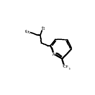 CCC(CC)Cc1cccc(C(F)(F)F)n1